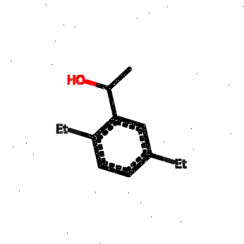 CCc1ccc(CC)c(C(C)O)c1